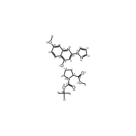 COC(=O)C1C[C@@H](Oc2cc(-n3cccn3)nc3cc(OC)ccc23)CN1C(=O)OC(C)(C)C